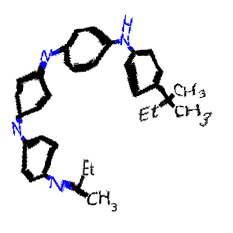 CC/C(C)=N\c1ccc(N=C2C=CC(=Nc3ccc(Nc4ccc(C(C)(C)CC)cc4)cc3)C=C2)cc1